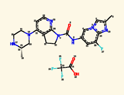 Cc1cn2cc(NC(=O)N3CCc4c(N5CCN[C@@H](C)C5)ccnc43)cc(F)c2n1.O=C(O)C(F)(F)F